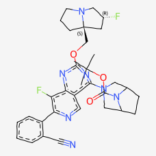 CC(C)(C)OC(=O)N1C2CCC1CN(c1nc(OC[C@@]34CCCN3C[C@H](F)C4)nc3c(F)c(-c4ccccc4C#N)ncc13)C2